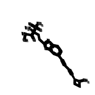 CN1CC[C@H]1C#CC#Cc1ccc2nc(CCC(C)(C(=O)NO)S(C)(=O)=O)sc2c1